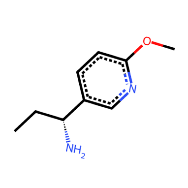 CC[C@@H](N)c1ccc(OC)nc1